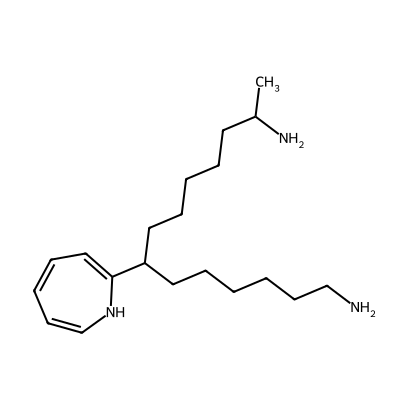 CC(N)CCCCCC(CCCCCCN)C1=CC=CC=CN1